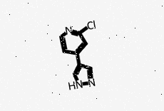 Clc1cc(-c2cn[nH]c2)ccn1